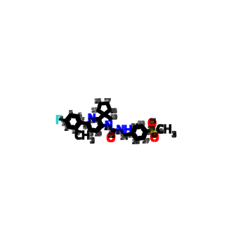 Cc1cc(F)ccc1-c1ccc2c(n1)C1(CCCC1)CN2C(=O)NCc1ccc(S(C)(=O)=O)cc1